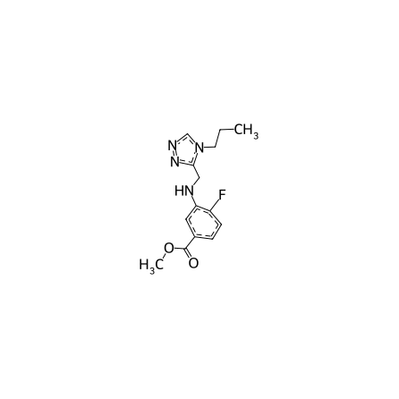 CCCn1cnnc1CNc1cc(C(=O)OC)ccc1F